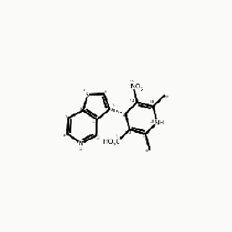 CC1=C(C(=O)O)[C@H](c2csc3ccncc23)C([N+](=O)[O-])=C(C)N1